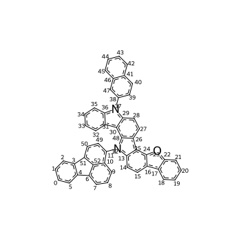 c1ccc2c(c1)-c1cccc3c(-n4c5ccc6c7ccccc7oc6c5c5ccc6c(c7ccccc7n6-c6ccc7ccccc7c6)c54)ccc-2c13